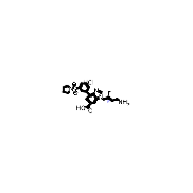 Cl.NC/C=C(\F)Cn1cnc2c(-c3cccc(S(=O)(=O)N4CCCC4)c3)cc(C(=O)O)cc21